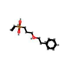 C=CS(=O)(=O)CCCOCCc1ccccc1